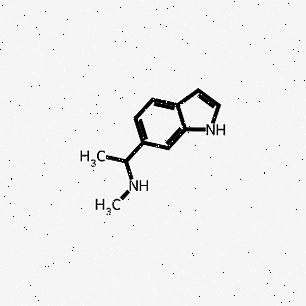 CNC(C)c1ccc2cc[nH]c2c1